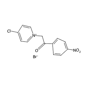 O=C(C[n+]1ccc(Cl)cc1)c1ccc([N+](=O)[O-])cc1.[Br-]